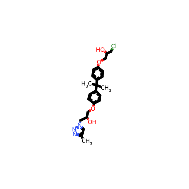 Cc1cn(CC(O)COc2ccc(C(C)(C)c3ccc(OCC(O)CCl)cc3)cc2)nn1